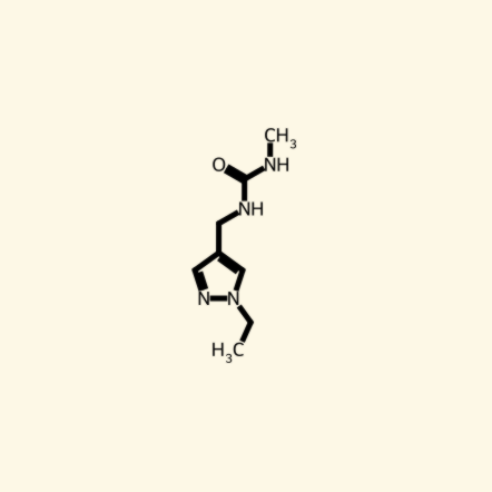 CCn1cc(CNC(=O)NC)cn1